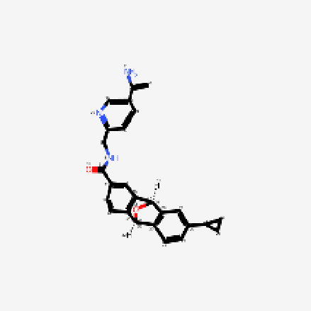 C=C(N)c1ccc(CNC(=O)c2ccc3c(c2)[C@@H]2O[C@H]3c3ccc(C4CC4)cc32)nc1